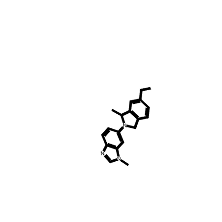 CCc1ccc2c(c1)C(C)N(c1ccc3ncn(C)c3c1)C2